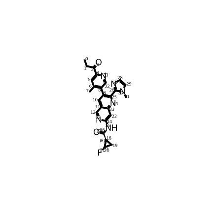 CCC(=O)c1cc(C)c(-c2cc3cnc(NC(=O)[C@H]4C[C@H]4F)cc3nc2-c2nccn2C)cn1